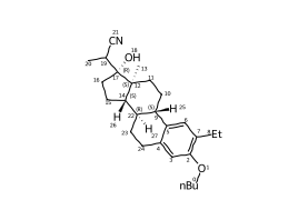 CCCCOc1cc2c(cc1CC)[C@H]1CC[C@@]3(C)[C@@H](CC[C@@]3(O)C(C)C#N)[C@@H]1CC2